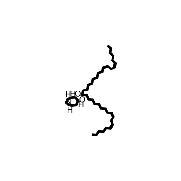 CCCCC/C=C\C/C=C\CCCCCCCCC1(CCCCCCCC/C=C\C/C=C\CCCCC)O[C@H]2[C@H]3CC[C@@H](C[C@H]2O1)N3C